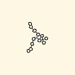 c1ccc(C2(c3ccccc3)c3ccccc3-c3c(N(c4cccc(-c5ccc(-c6ccc7ccccc7c6)cc5)c4)c4cccc(-c5ccc(-c6ccc7ccccc7c6)cc5)c4)cccc32)cc1